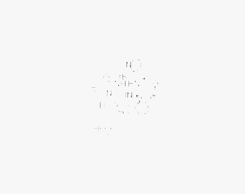 CC(C)(C)NC(=O)[C@@H]1C[C@@H]2CCCC[C@@H]2CN1C[C@@H](OC(=O)CCC(=O)O)[C@H](Cc1ccccc1)NC(=O)[C@@H](NC(=O)c1cccnc1)C(C)(C)S(C)(=O)=O